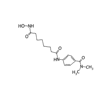 CN(C)C(=O)c1ccc(NC(=O)CCCCCCC(=O)NO)cc1